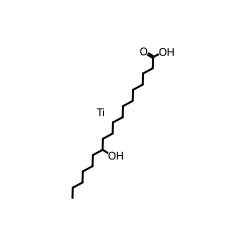 CCCCCCC(O)CCCCCCCCCCC(=O)O.[Ti]